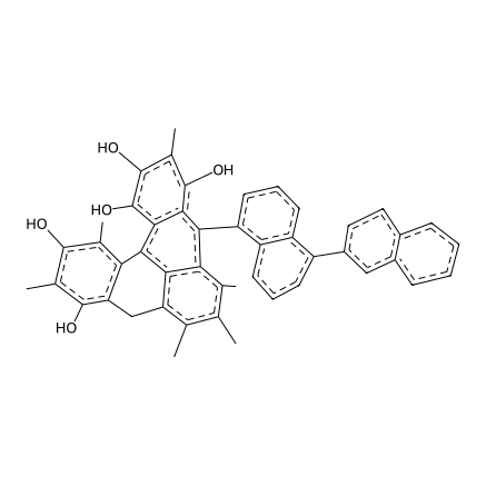 Cc1c(O)c(C)c2c(c1O)Cc1c(C)c(C)c(C)c3c(-c4cccc5c(-c6ccc7ccccc7c6)cccc45)c4c(O)c(C)c(O)c(O)c4c-2c13